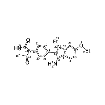 CCOc1ccc2c(N)c(-c3ccc(N4C(=O)CNC4=O)cc3)n(CC)c2c1